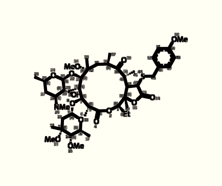 CC[C@H]1OC(=O)[C@H](C)[C@@H](O[C@H]2C[C@@](C)(OC)[C@@H](OC)[C@H](C)O2)[C@H](C)[C@@H](O[C@@H]2O[C@H](C)C[C@H](NC)[C@H]2O)[C@](C)(OC)C[C@@H](C)C(=O)[C@H](C)C2C(SCc3ccc(OC)cc3)C(=O)O[C@@]21C